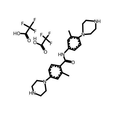 Cc1cc(N2CCNCC2)ccc1C(=O)Nc1ccc(N2CCNCC2)c(C)c1.O=C(O)C(F)(F)F.O=C(O)C(F)(F)F